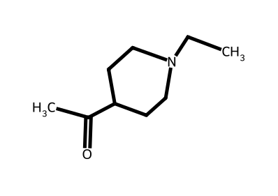 CCN1CCC(C(C)=O)CC1